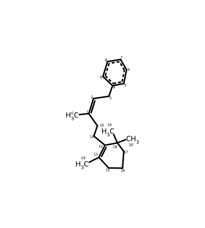 CC(=CCc1ccccc1)CCC1=C(C)CCCC1(C)C